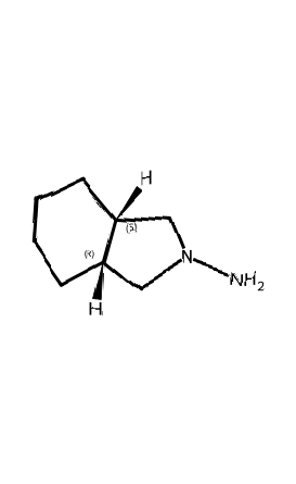 NN1C[C@H]2CCCC[C@H]2C1